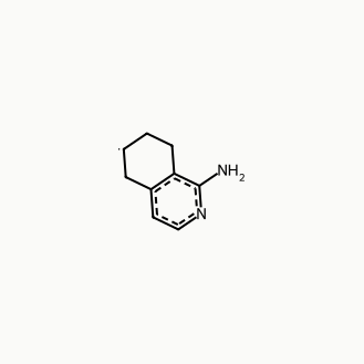 Nc1nccc2c1CC[CH]C2